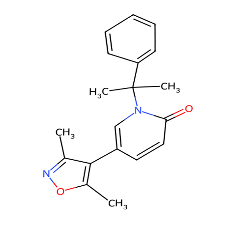 Cc1noc(C)c1-c1ccc(=O)n(C(C)(C)c2ccccc2)c1